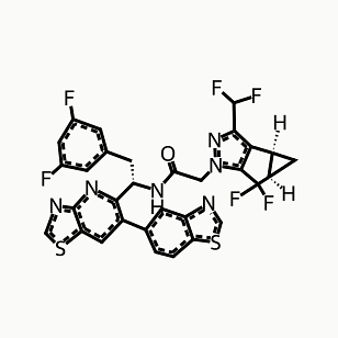 O=C(Cn1nc(C(F)F)c2c1C(F)(F)[C@@H]1C[C@H]21)N[C@@H](Cc1cc(F)cc(F)c1)c1nc2ncsc2cc1-c1ccc2scnc2c1